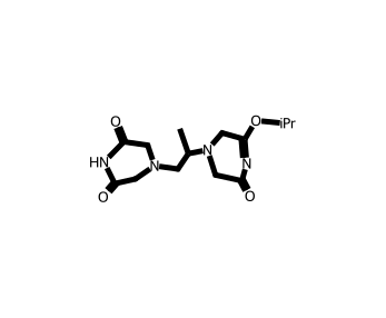 CC(C)OC1=NC(=O)CN(C(C)CN2CC(=O)NC(=O)C2)C1